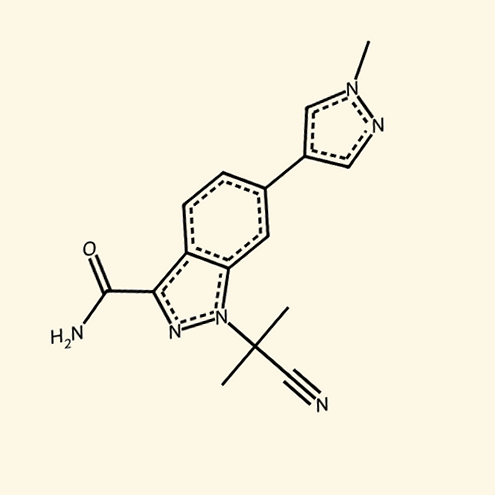 Cn1cc(-c2ccc3c(C(N)=O)nn(C(C)(C)C#N)c3c2)cn1